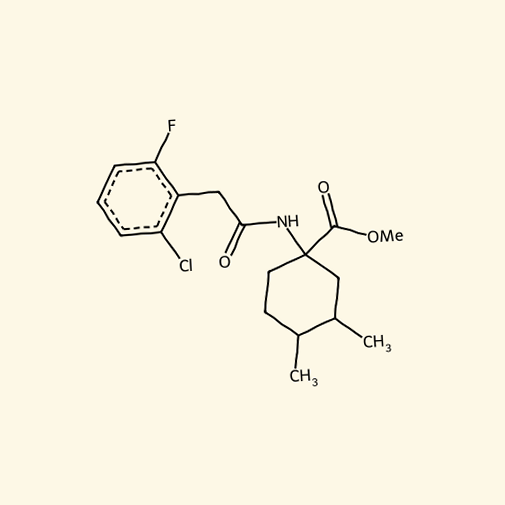 COC(=O)C1(NC(=O)Cc2c(F)cccc2Cl)CCC(C)C(C)C1